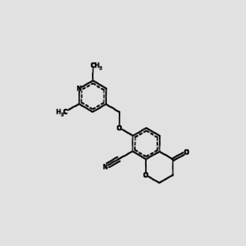 Cc1cc(COc2ccc3c(c2C#N)OCCC3=O)cc(C)n1